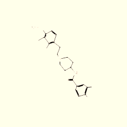 COc1ccc(CCN2CCC(NC(=O)c3ccc(F)c(Cl)c3)CC2)c(C)c1C